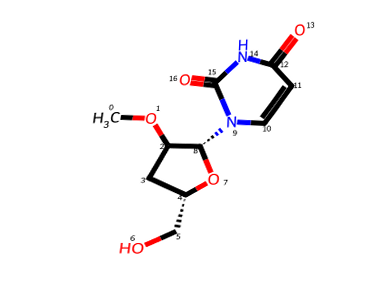 COC1C[C@@H](CO)O[C@H]1n1ccc(=O)[nH]c1=O